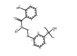 CCCc1ccccc1C(=O)N(CC)CCc1cccc(C(C)(C)O)n1